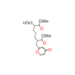 CCCCCCCCC(CCCC(Cc1cc(=O)cco1)C(=O)OC)C(=O)OC